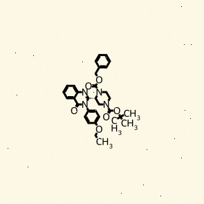 CCOc1ccc(-n2c([C@H]3CN(C(=O)OC(C)(C)C)CCN3C(=O)OCc3ccccc3)nc3ccccc3c2=O)cc1